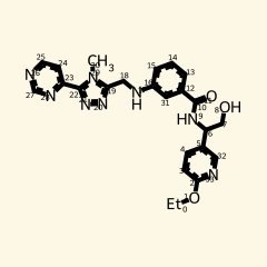 CCOc1ccc(C(CO)NC(=O)c2cccc(NCc3nnc(-c4ccncn4)n3C)c2)cn1